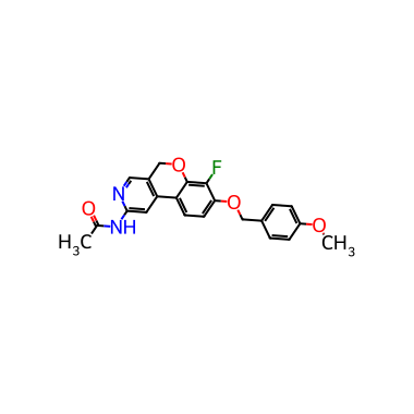 COc1ccc(COc2ccc3c(c2F)OCc2cnc(NC(C)=O)cc2-3)cc1